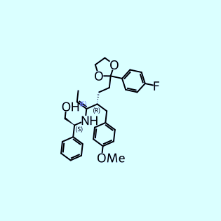 C/C=C(/N[C@H](CO)c1ccccc1)[C@H](CCC1(c2ccc(F)cc2)OCCO1)Cc1ccc(OC)cc1